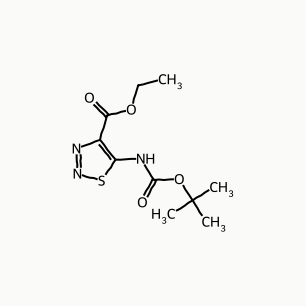 CCOC(=O)c1nnsc1NC(=O)OC(C)(C)C